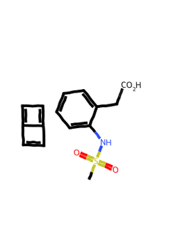 CS(=O)(=O)Nc1ccccc1CC(=O)O.c1cc2ccc1-2